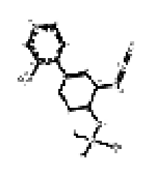 CC(C)(C)[Si](C)(C)OC1CCC(c2ccncc2[N+](=O)[O-])=CC1N=[N+]=[N-]